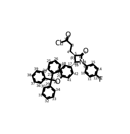 O=C(Cl)CC[C@H]1C(=O)N(c2ccc(F)cc2)[C@@H]1c1ccc(OC(c2ccccc2)(c2ccccc2)c2ccccc2)cc1